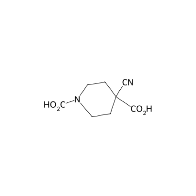 N#CC1(C(=O)O)CCN(C(=O)O)CC1